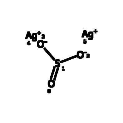 O=S([O-])[O-].[Ag+].[Ag+]